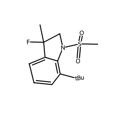 CC(C)(C)c1cccc2c1N(S(C)(=O)=O)CC2(C)F